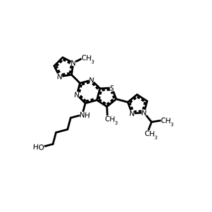 Cc1c(-c2ccn(C(C)C)n2)sc2nc(-c3nccn3C)nc(NCCCCO)c12